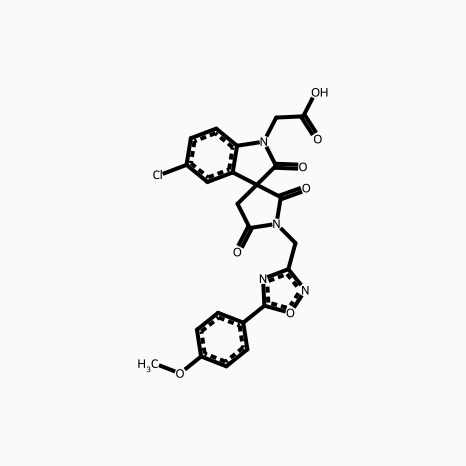 COc1ccc(-c2nc(CN3C(=O)CC4(C3=O)C(=O)N(CC(=O)O)c3ccc(Cl)cc34)no2)cc1